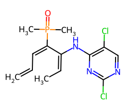 C=C/C=C(\C(=C/C)Nc1nc(Cl)ncc1Cl)P(C)(C)=O